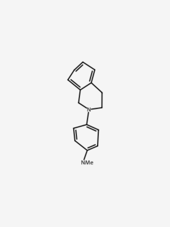 CNc1ccc(N2CCc3ccccc3C2)cc1